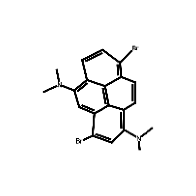 CN(C)c1cc2c(Br)cc(N(C)C)c3ccc4c(Br)ccc1c4c23